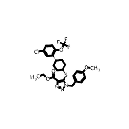 CCOC(=O)c1nnn(Cc2ccc(OC)cc2)c1S[C@H]1CC[C@H](c2cc(Cl)ccc2OC(F)(F)F)CC1